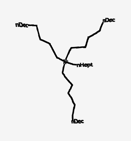 CCCCCCCCCCCCCC[N+](CCCCCCC)(CCCCCCCCCCCCCC)CCCCCCCCCCCCCC